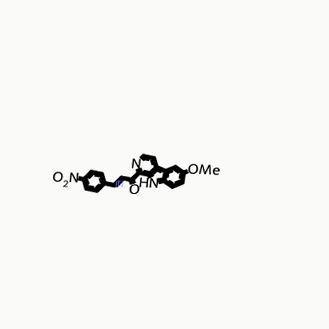 COc1ccc2[nH]c3c(C(=O)/C=C/c4ccc([N+](=O)[O-])cc4)nccc3c2c1